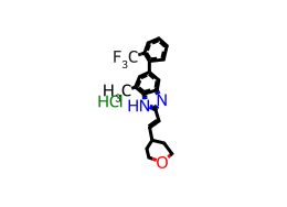 Cc1cc(-c2ccccc2C(F)(F)F)cc2nc(C=CC3CCOCC3)[nH]c12.Cl